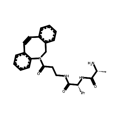 CC(C)[C@@H](NC(=O)[C@@H](C)N)C(=O)NCCC(=O)N1Cc2ccccc2C#Cc2ccccc21